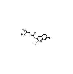 Cc1nc2cc(Br)ccc2cc1CC(=O)OCC(C)C